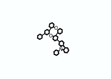 c1ccc(-c2ccc3c(c2)Oc2ccc(-c4ccc5c6ccccc6n(-c6ccccc6)c5c4)cc2-c2ccccc2Oc2ccccc2-3)cc1